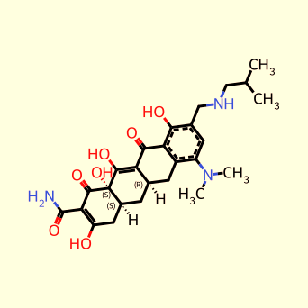 CC(C)CNCc1cc(N(C)C)c2c(c1O)C(=O)C1=C(O)[C@]3(O)C(=O)C(C(N)=O)=C(O)C[C@@H]3C[C@@H]1C2